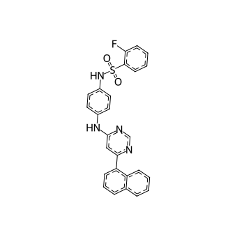 O=S(=O)(Nc1ccc(Nc2cc(-c3cccc4ccccc34)ncn2)cc1)c1ccccc1F